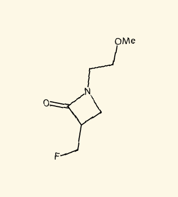 COCCN1CC(CF)C1=O